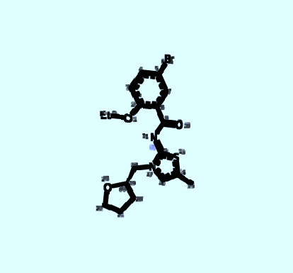 CCOc1ccc(Br)cc1C(=O)/N=c1\sc(C)cn1C[C@H]1CCCO1